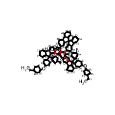 C=Cc1ccc(Oc2ccc(C3(c4ccc(F)cc4)c4ccccc4-c4ccc(N(c5ccc(C)c(F)c5)c5ccc6c(c5)C5(c7ccccc7-6)c6ccccc6-c6ccc(N(c7ccc(C)c(F)c7)c7ccc8c(c7)C(c7ccc(F)cc7)(c7ccc(Oc9ccc(C=C)cc9)cc7)c7ccccc7-8)cc65)cc43)cc2)cc1